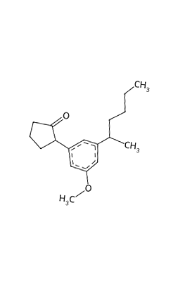 CCCCC(C)c1cc(OC)cc(C2CCCC2=O)c1